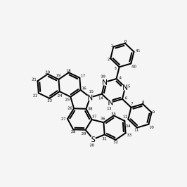 c1ccc(-c2nc(-c3ccccc3)nc(-n3c4ccc5ccccc5c4c4ccc5sc6ccccc6c5c43)n2)cc1